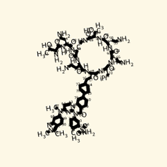 Cc1ccc(N(C(=O)c2ccc(-c3ccc(CC[C@H]4NC(=O)C(CCN)NC(=O)[C@@H](NC(=O)[C@H](CCN)NC(=O)[C@@H](N)[C@@H](C)O)CCNC(=O)[C@H]([C@@H](C)O)NC(=O)[C@H](CCN)NC(=O)[C@H](CCN)NC(=O)[C@H](CC(C)C)NC4=O)cc3)cc2)c2nccc(N(C)c3ccc4c(C)n(C)nc4c3)n2)cc1S(N)(=O)=O